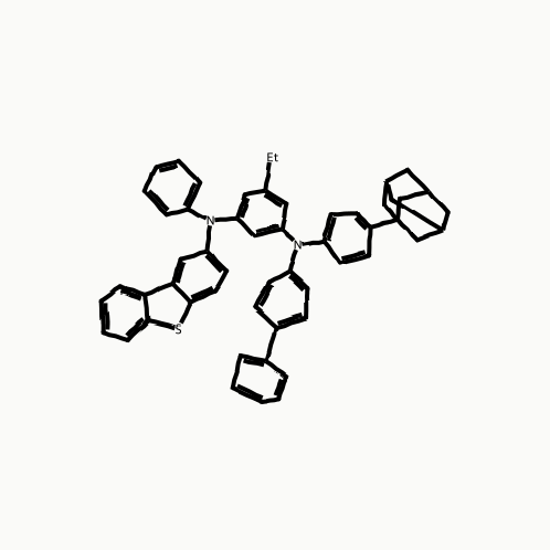 CCc1cc(N(c2ccc(-c3ccccc3)cc2)c2ccc(C34CC5CC(CC(C5)C3)C4)cc2)cc(N(c2ccccc2)c2ccc3sc4ccccc4c3c2)c1